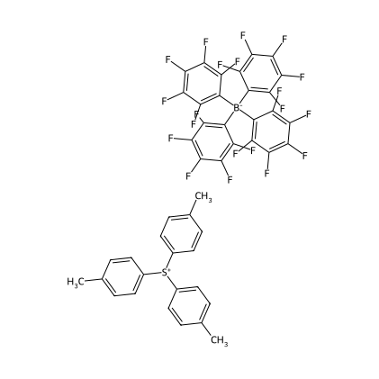 Cc1ccc([S+](c2ccc(C)cc2)c2ccc(C)cc2)cc1.Fc1c(F)c(F)c([B-](c2c(F)c(F)c(F)c(F)c2F)(c2c(F)c(F)c(F)c(F)c2F)c2c(F)c(F)c(F)c(F)c2F)c(F)c1F